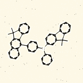 CC1(C)c2ccccc2-c2ccc(N(c3ccccc3)c3ccc(-c4c5c(cc6ccccc46)C(C)(C)c4ccccc4-5)cc3)cc21